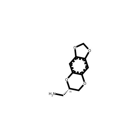 NC[C@H]1COc2cc3c(cc2O1)OCO3